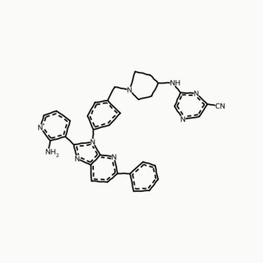 N#Cc1cncc(NC2CCN(Cc3ccc(-n4c(-c5cccnc5N)nc5ccc(-c6ccccc6)nc54)cc3)CC2)n1